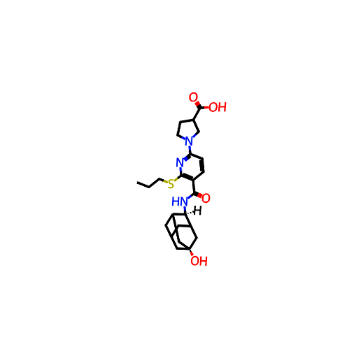 CCCSc1nc(N2CCC(C(=O)O)C2)ccc1C(=O)N[C@H]1C2CC3CC1C[C@@](O)(C3)C2